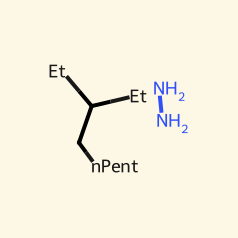 CCCCCCC(CC)CC.NN